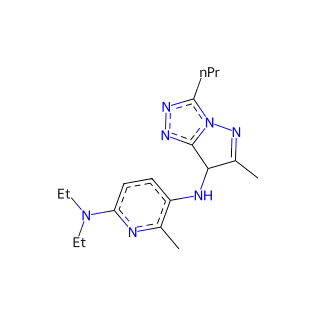 CCCc1nnc2n1N=C(C)C2Nc1ccc(N(CC)CC)nc1C